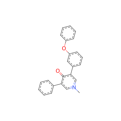 Cn1cc(-c2ccccc2)c(=O)c(-c2cccc(Oc3ccccc3)c2)c1